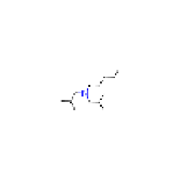 CCCC[CH]N(CC(C)C)CC(C)C